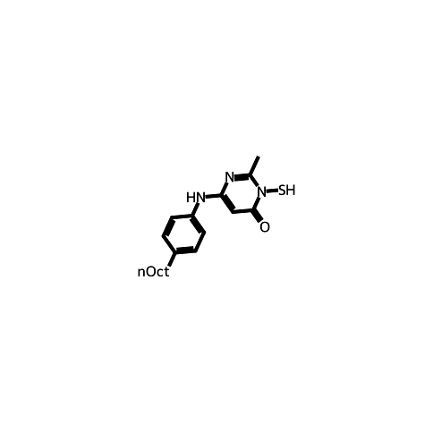 CCCCCCCCc1ccc(Nc2cc(=O)n(S)c(C)n2)cc1